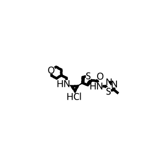 Cc1nnc(NC(=O)c2cc([C@H]3C[C@@H]3NCC3CCOCC3)cs2)s1.Cl